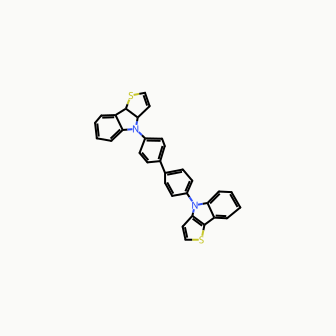 C1=CC2C(S1)c1ccccc1N2c1ccc(-c2ccc(-n3c4ccccc4c4sccc43)cc2)cc1